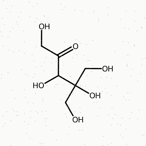 O=C(CO)C(O)C(O)(CO)CO